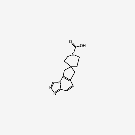 O=C(O)N1CCC2(CC1)Cc1ccc3nncn3c1C2